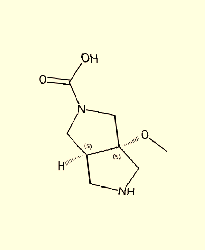 CO[C@]12CNC[C@H]1CN(C(=O)O)C2